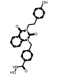 O=C(NO)c1ccc(Cn2c(=O)n(CCc3ccc(O)cc3)c(=O)c3ccccc32)cc1